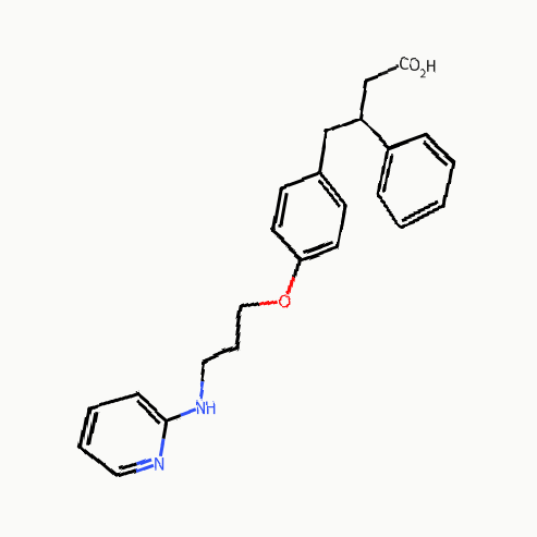 O=C(O)CC(Cc1ccc(OCCCNc2ccccn2)cc1)c1ccccc1